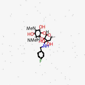 CN[C@@H]1[C@H](O)[C@H](NC)[C@H]2O[C@]3(O)[C@H](OC2[C@H]1O)O[C@H](C)C[C@]3(O)CNCc1ccc(F)cc1